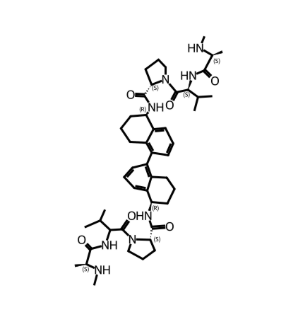 CN[C@@H](C)C(=O)NC(C(=O)N1CCC[C@H]1C(=O)N[C@@H]1CCCc2c(-c3cccc4c3CCC[C@H]4NC(=O)[C@@H]3CCCN3C(=O)[C@@H](NC(=O)[C@H](C)NC)C(C)C)cccc21)C(C)C